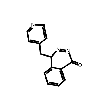 O=C1N=NC(Cc2ccncc2)c2ccccc21